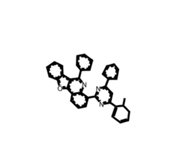 CC1CC=CC=C1c1cc(-c2ccccc2)nc(-c2cccc3c2nc(-c2ccccc2)c2c4ccccc4oc32)n1